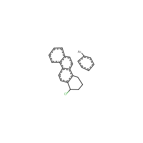 CC(=O)c1ccccc1.ClC1CCCc2c1ccc1c2ccc2ccccc21